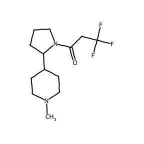 CN1CCC(C2CCCN2C(=O)CC(F)(F)F)CC1